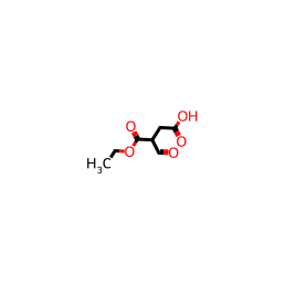 CCOC(=O)C(C=O)CC(=O)O